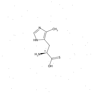 Cc1nc[nH]c1C[C@H](N)C(O)=S